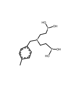 Cc1ccc(CN(CCP(O)O)CCP(O)O)cc1